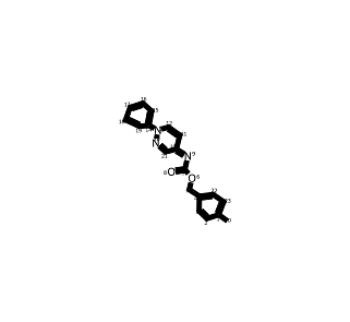 Cc1ccc(COC(=O)N=c2ccn(-c3ccccc3)nc2)cc1